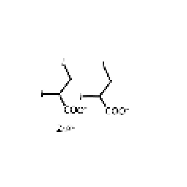 O=C([O-])C(I)CI.O=C([O-])C(I)CI.[Zn+2]